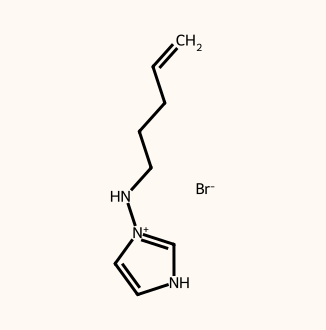 C=CCCCN[n+]1cc[nH]c1.[Br-]